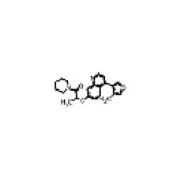 Cc1cscc1-c1ccnc2cc(OC(C)C(=O)N3CCCCC3)ccc12